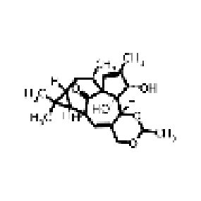 CC1=C[C@]23C(=O)[C@@H](C=C4COC(C)O[C@H]4[C@]2(O)[C@H]1O)[C@H]1[C@@H](C[C@H]3C)C1(C)C